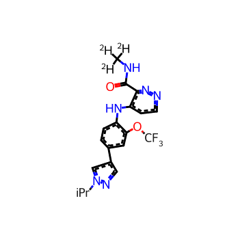 [2H]C([2H])([2H])NC(=O)c1nnccc1Nc1ccc(-c2cnn(C(C)C)c2)cc1OC(F)(F)F